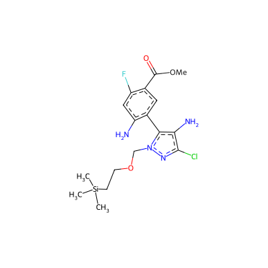 COC(=O)c1cc(-c2c(N)c(Cl)nn2COCC[Si](C)(C)C)c(N)cc1F